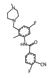 Cc1c(CN2CCN(C)CC2)cc(F)cc1NC(=O)c1ccc(F)c(C#N)c1